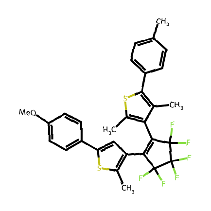 COc1ccc(-c2cc(C3=C(c4c(C)sc(-c5ccc(C)cc5)c4C)C(F)(F)C(F)(F)C3(F)F)c(C)s2)cc1